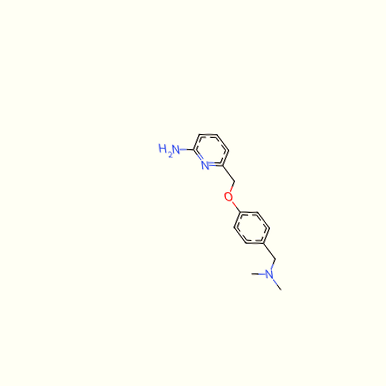 CN(C)Cc1ccc(OCc2cccc(N)n2)cc1